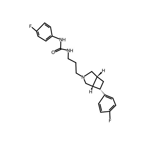 O=C(NCCCN1C[C@@H]2C[C@H](c3ccc(F)cc3)[C@@H]2C1)Nc1ccc(F)cc1